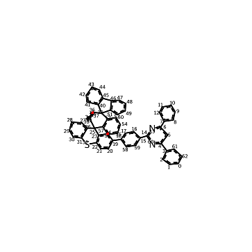 c1ccc(-c2cc(-c3ccccc3)nc(-c3ccc(-c4ccc5c(c4)C4(c6ccccc6S5)c5ccccc5C5(c6ccccc6-c6ccccc65)c5ccccc54)cc3)n2)cc1